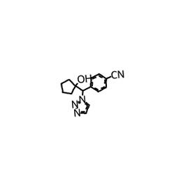 N#Cc1ccc(C(n2ccnn2)C2(O)CCCC2)cc1